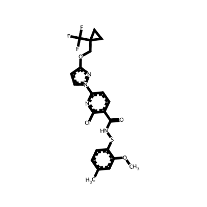 COc1cc(C)ccc1SNC(=O)c1ccc(-n2ccc(OCC3(C(F)(F)F)CC3)n2)nc1Cl